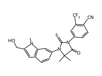 Cn1c(CO)cc2ccc(N3C(=S)N(c4ccc(C#N)c(C(F)(F)F)c4)C(=O)C3(C)C)cc21